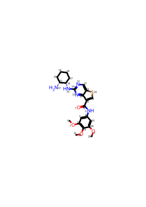 COc1cc(NC(=O)c2csc3cnc(N[C@H]4CCCC[C@H]4N)nc23)cc(OC)c1OC